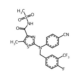 Cc1sc(N(Cc2ccc(F)c(C(F)(F)F)c2)c2ccc(C#N)cc2)nc1C(=O)NS(C)(=O)=O